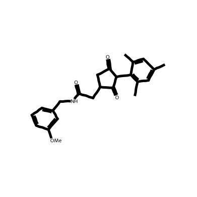 COc1cccc(CNC(=O)CC2CC(=O)C(c3c(C)cc(C)cc3C)C2=O)c1